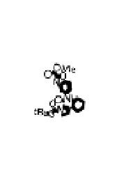 COC(=O)c1nc2cc(NC(=O)[C@@H]3[C@H](C4CCCCC4)CCN3C(=O)OC(C)(C)C)ccc2o1